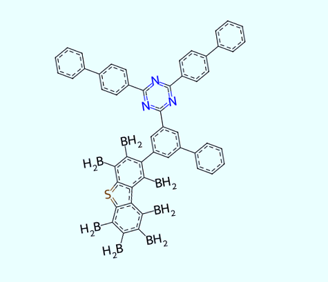 Bc1c(B)c(B)c2c(sc3c(B)c(B)c(-c4cc(-c5ccccc5)cc(-c5nc(-c6ccc(-c7ccccc7)cc6)nc(-c6ccc(-c7ccccc7)cc6)n5)c4)c(B)c32)c1B